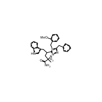 COc1ccccc1Cn1c(Cc2ccccc2)nnc1C(Cc1c[nH]c2ccccc12)CC(C)(N)C(N)=O